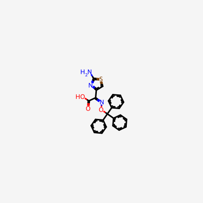 Nc1nc(/C(=N/OC(c2ccccc2)(c2ccccc2)c2ccccc2)C(=O)O)cs1